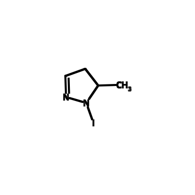 CC1CC=NN1I